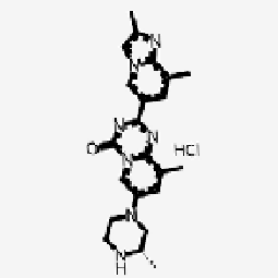 Cc1cn2cc(-c3nc(=O)n4cc(N5CCN[C@@H](C)C5)cc(C)c4n3)cc(C)c2n1.Cl